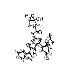 CC1(O)CCN(C(=O)Cc2nc(-c3cc(Cl)ccc3OC(F)F)c(NC(=O)c3cnn4cccnc34)s2)C1